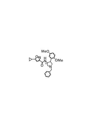 COc1ccc(OC)c(C2CN(Cc3ccccc3)C[C@H]2NC(=O)c2cc(C3CC3)on2)c1